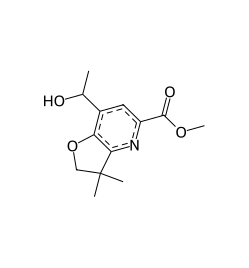 COC(=O)c1cc(C(C)O)c2c(n1)C(C)(C)CO2